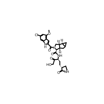 COc1cc(Cl)cc2[nH]c(C(=O)N3C[C@H]4[C@H](CC5C[C@@H]54)[C@H]3C(=O)N[C@@H](CC[C@@H]3CCNC3=O)C(=O)CO)cc12